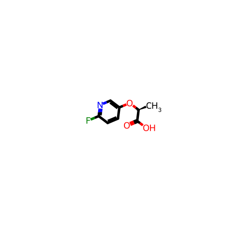 C[C@H](Oc1ccc(F)nc1)C(=O)O